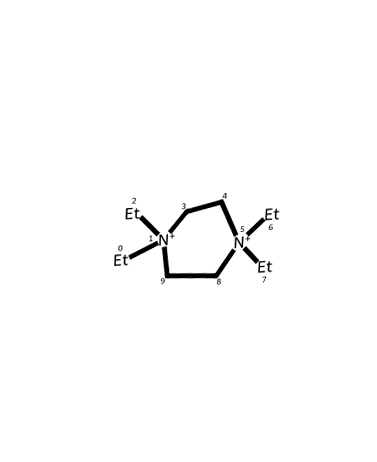 CC[N+]1(CC)CC[N+](CC)(CC)CC1